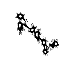 c1ccc(C[C@@H](c2ccccc2)c2ccc(-c3ccc(-c4ccc5c(c4)c4ccccc4n5-c4ccccc4)cc3)cc2)cc1